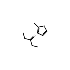 CCC(=O)CC.Cc1cccs1